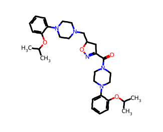 CC(C)Oc1ccccc1N1CCN(CC2CC(C(=O)N3CCN(c4ccccc4OC(C)C)CC3)=NO2)CC1